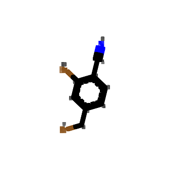 N#Cc1ccc(CBr)cc1Br